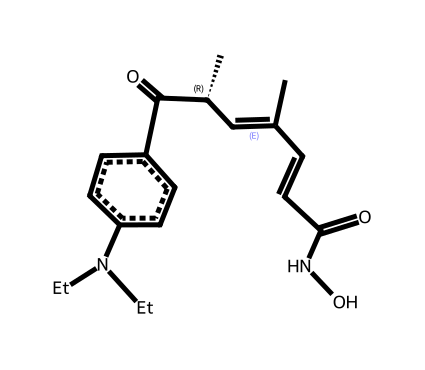 CCN(CC)c1ccc(C(=O)[C@H](C)/C=C(\C)C=CC(=O)NO)cc1